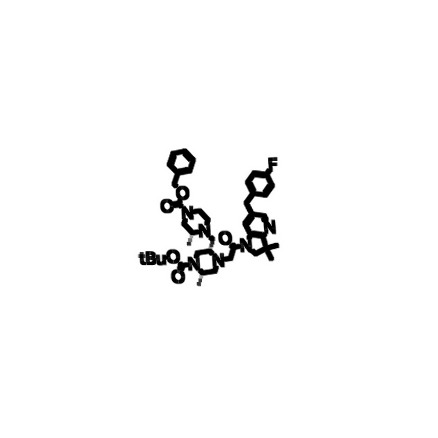 C[C@@H]1CN(C(=O)OCc2ccccc2)CCN1C[C@H]1CN(C(=O)OC(C)(C)C)[C@@H](C)CN1CC(=O)N1CC(C)(C)c2ncc(Cc3ccc(F)cc3)cc21